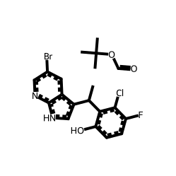 CC(C)(C)OC=O.CC(c1c(O)ccc(F)c1Cl)c1c[nH]c2ncc(Br)cc12